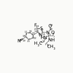 CCNC1(NCC)COC(=O)N1c1nc(-c2ccc(C#N)cc2)c(F)s1